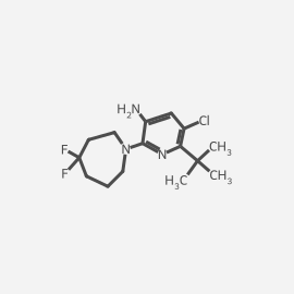 CC(C)(C)c1nc(N2CCCC(F)(F)CC2)c(N)cc1Cl